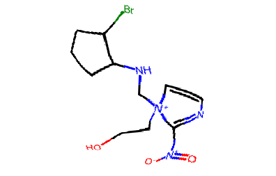 O=[N+]([O-])C1=NC=C[N+]1(CCO)CNC1CCCC1Br